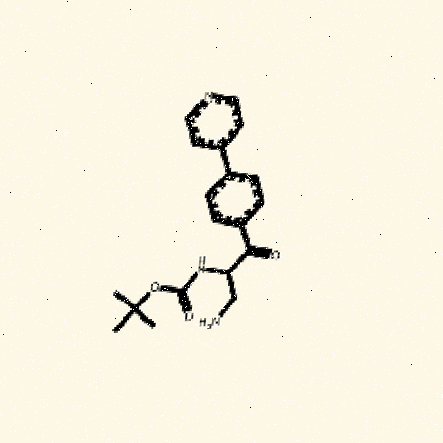 CC(C)(C)OC(=O)NC(CN)C(=O)c1ccc(-c2ccncc2)cc1